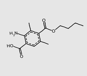 CCCCOC(=O)c1c(C)cc(C(=O)O)c(N)c1C